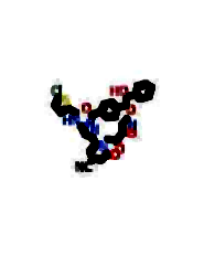 N#Cc1cc(-c2cc(NCc3ccc(Cl)s3)n(C(=O)c3ccc(C(=O)C(O)c4ccccc4)cc3)n2)n(CC(=O)c2ccno2)c(=O)c1